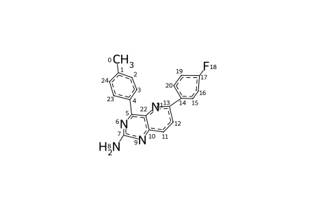 Cc1ccc(-c2nc(N)nc3ccc(-c4ccc(F)cc4)nc23)cc1